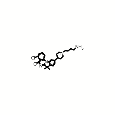 CC1(C)c2ccc(C3CCN(CCCCN)CC3)cc2-n2c1nc(=O)c1c(Cl)cccc12